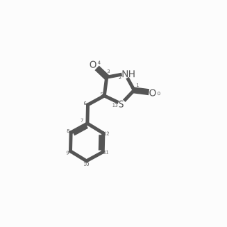 O=C1NC(=O)C(CC2=CCCC=C2)S1